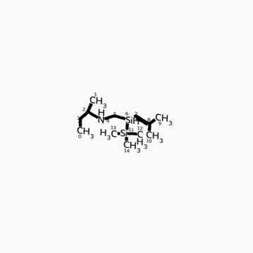 CCC(C)NC[SiH](C=C(C)C)[Si](C)(C)C